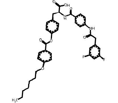 CCCCCCCOc1ccc(C(=O)Oc2ccc(C[C@H](NC(=O)c3ccc(NC(=O)Cc4cc(F)cc(F)c4)cc3)C(=O)O)cc2)cc1